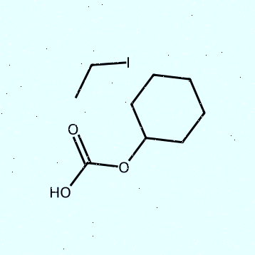 CCI.O=C(O)OC1CCCCC1